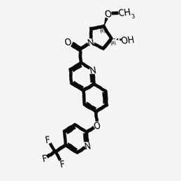 CO[C@@H]1CN(C(=O)c2ccc3cc(Oc4ccc(C(F)(F)F)cn4)ccc3n2)C[C@H]1O